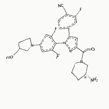 N#Cc1ccc(-c2cc(C(=O)N3CCC[C@@H](N)C3)nn2-c2c(F)cc(N3CCC(O)C3)cc2F)cc1F